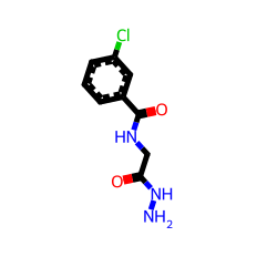 NNC(=O)CNC(=O)c1cccc(Cl)c1